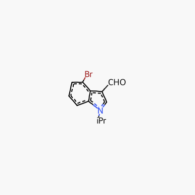 CC(C)n1cc(C=O)c2c(Br)cccc21